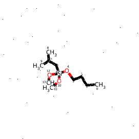 CCCCO[Si](CC(C)C)(OC)OC